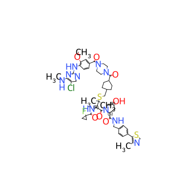 CNc1nc(Nc2ccc(C(=O)N3CCN(C(=O)C4CCC(CSC(C)(C)[C@H](NC(=O)C5(F)CC5)C(=O)N5C[C@H](O)C[C@H]5C(=O)NCc5ccc(-c6scnc6C)cc5)CC4)CC3)cc2OC)ncc1Cl